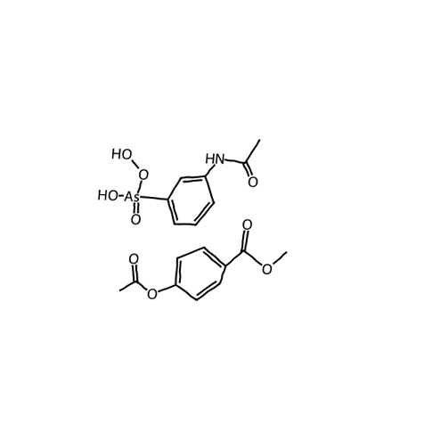 CC(=O)Nc1cccc([As](=O)(O)OO)c1.COC(=O)c1ccc(OC(C)=O)cc1